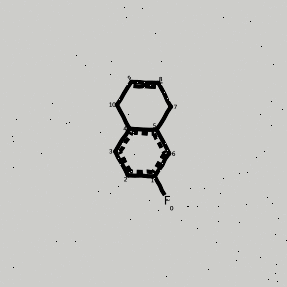 Fc1ccc2c(c1)C[C]=CC2